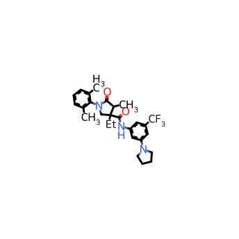 CCC1(C(=O)Nc2cc(N3CCCC3)cc(C(F)(F)F)c2)CN(c2c(C)cccc2C)C(=O)C1C